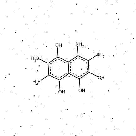 Bc1c(O)c(O)c2c(O)c(B)c(B)c(O)c2c1N